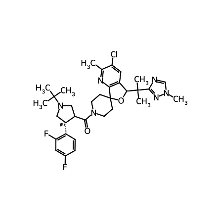 Cc1nc2c(cc1Cl)C(C(C)(C)c1ncn(C)n1)OC21CCN(C(=O)C2CN(C(C)(C)C)C[C@H]2c2ccc(F)cc2F)CC1